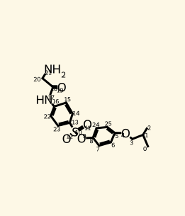 CC(C)COc1ccc(OS(=O)(=O)c2ccc(NC(=O)CN)cc2)cc1